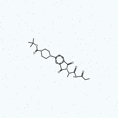 CCC(=O)NC(=O)C(C)N1C(=O)c2ccc(N3CCN(C(=O)OC(C)(C)C)CC3)cc2C1=O